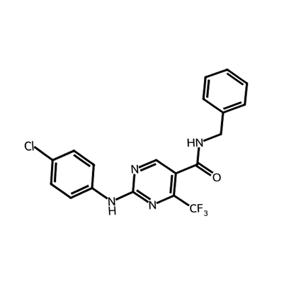 O=C(NCc1ccccc1)c1cnc(Nc2ccc(Cl)cc2)nc1C(F)(F)F